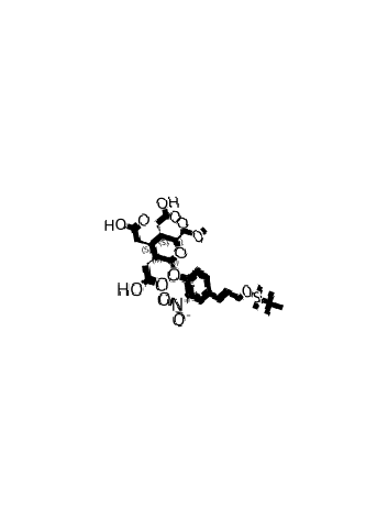 COC(=O)[C@H]1O[C@@H](Oc2ccc(C=CCO[Si](C)(C)C(C)(C)C)cc2[N+](=O)[O-])[C@H](CC(=O)O)[C@@H](CC(=O)O)[C@@H]1CC(=O)O